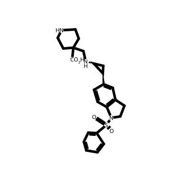 O=C(O)C1(CN[C@@H]2C[C@H]2c2ccc3c(c2)CCN3S(=O)(=O)c2ccccc2)CCNCC1